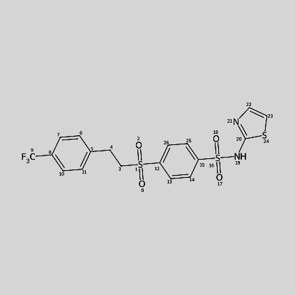 O=S(=O)(CCc1ccc(C(F)(F)F)cc1)c1ccc(S(=O)(=O)Nc2nccs2)cc1